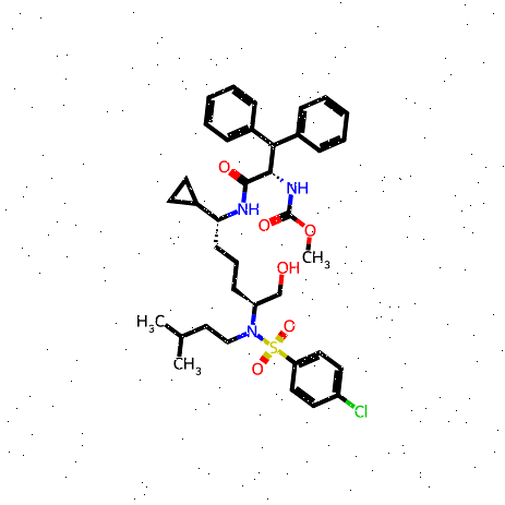 COC(=O)N[C@H](C(=O)N[C@H](CCC[C@@H](CO)N(CCC(C)C)S(=O)(=O)c1ccc(Cl)cc1)C1CC1)C(c1ccccc1)c1ccccc1